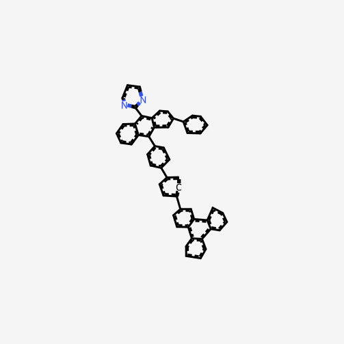 c1ccc(-c2ccc3c(-c4ncccn4)c4ccccc4c(-c4ccc(-c5ccc(-c6ccc7c8ccccc8c8ccccc8c7c6)cc5)cc4)c3c2)cc1